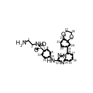 NCCNS(=O)(=O)c1ccc(Nc2nc3cccc(-c4ccc5c(c4)OCCO5)n3n2)cc1